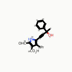 CC(C)c1c(C#CC(C)(O)c2ccccc2)[nH]c(C=O)c1C(=O)O